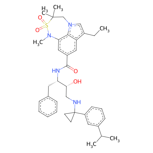 CCc1cn2c3c(cc(C(=O)N[C@@H](Cc4ccccc4)[C@H](O)CNC4(c5cccc(C(C)C)c5)CC4)cc13)N(C)S(=O)(=O)C(C)(C)C2